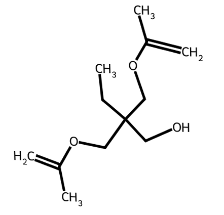 C=C(C)OCC(CC)(CO)COC(=C)C